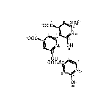 O=C([O-])c1ccnc(O)c1.O=C([O-])c1ccnc(O)c1.O=C([O-])c1ccnc(O)c1.[Al+3]